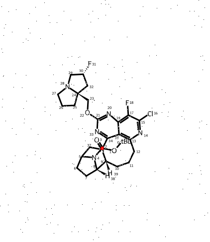 CC(C)(C)OC(=O)N1C2CC[C@H]1[C@H]1CCCc3nc(Cl)c(F)c4nc(OC[C@@]56CCCN5C[C@H](F)C6)nc(c34)N1C2